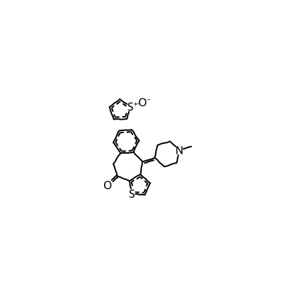 CN1CCC(=C2c3ccccc3CC(=O)c3sccc32)CC1.[O-][s+]1cccc1